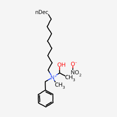 CCCCCCCCCCCCCCCCCC[N+](C)(Cc1ccccc1)C(C)O.O=[N+]([O-])[O-]